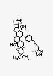 CC1(C)COC2(CCC3=C4C(CCC3(O)C2)C2CC[C@@](O)(C(F)(F)C(F)(F)F)[C@@]2(C)C[C@@H]4c2ccc(COCc3nnn[nH]3)cc2)OC1